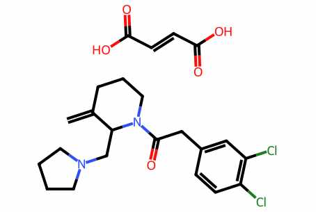 C=C1CCCN(C(=O)Cc2ccc(Cl)c(Cl)c2)C1CN1CCCC1.O=C(O)C=CC(=O)O